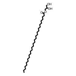 CCCCCCCCCCCCCCCCCCCCCCCCCCCCCCCC(=O)OCC(O)CO